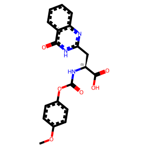 COc1ccc(OC(=O)N[C@@H](Cc2nc3ccccc3c(=O)[nH]2)C(=O)O)cc1